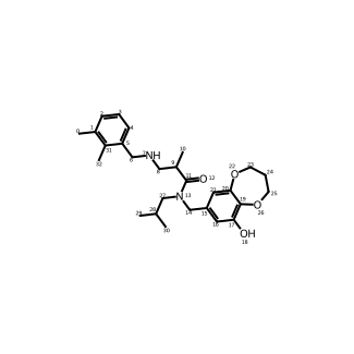 Cc1cccc(CNCC(C)C(=O)N(Cc2cc(O)c3c(c2)OCCCO3)CC(C)C)c1C